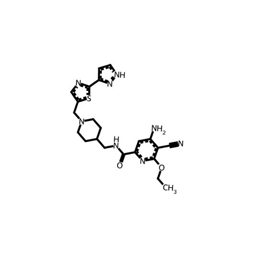 CCOc1nc(C(=O)NCC2CCN(Cc3cnc(-c4cc[nH]n4)s3)CC2)cc(N)c1C#N